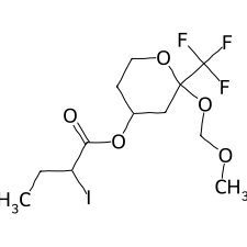 CCC(I)C(=O)OC1CCOC(OCOC)(C(F)(F)F)C1